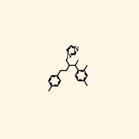 Cc1ccc(CCC(Cn2ccnc2)C(C)c2ccc(C)cc2C)cc1